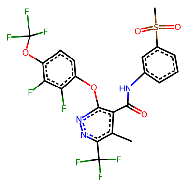 Cc1c(C(F)(F)F)nnc(Oc2ccc(OC(F)(F)F)c(F)c2F)c1C(=O)Nc1cccc(S(C)(=O)=O)c1